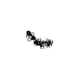 [2H]C([2H])([2H])N(C/C=C/C(=O)Nc1cc2c(Nc3ccc(NC(=O)c4ccccn4)c(Cl)c3)ncnc2cc1OCC)C([2H])([2H])[2H]